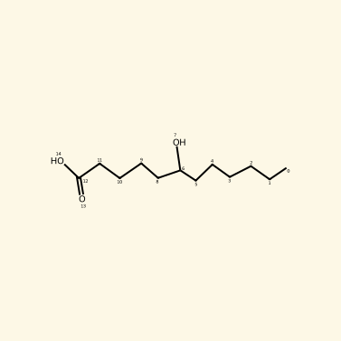 CCCCCCC(O)CCCCC(=O)O